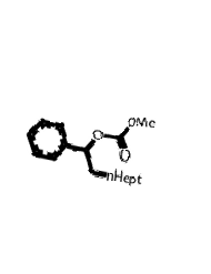 CCCCCCCCC(OC(=O)OC)c1ccccc1